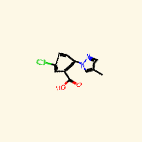 Cc1cnn(-c2ccc(Cl)cc2C(=O)O)c1